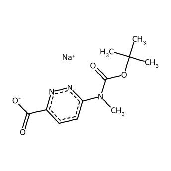 CN(C(=O)OC(C)(C)C)c1ccc(C(=O)[O-])nn1.[Na+]